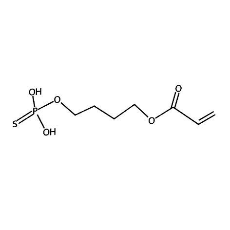 C=CC(=O)OCCCCOP(O)(O)=S